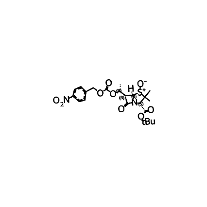 C[C@@H](OC(=O)OCc1ccc([N+](=O)[O-])cc1)[C@@H]1C(=O)N2[C@@H]1[S+]([O-])C(C)(C)[C@@H]2C(=O)OC(C)(C)C